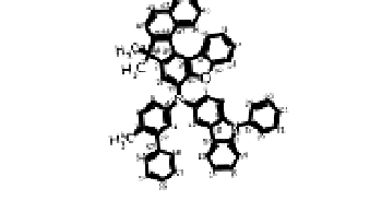 Cc1ccc(N(c2ccc3c(c2)c2ccccc2n3-c2ccccc2)c2cc3c(c4c2oc2ccccc24)-c2c(ccc4ccccc24)C3(C)C)cc1-c1ccccc1